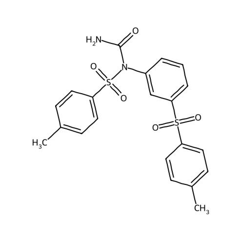 Cc1ccc(S(=O)(=O)c2cccc(N(C(N)=O)S(=O)(=O)c3ccc(C)cc3)c2)cc1